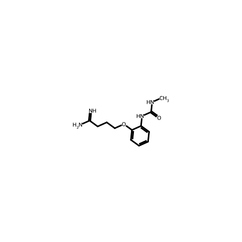 CNC(=O)Nc1ccccc1OCCCC(=N)N